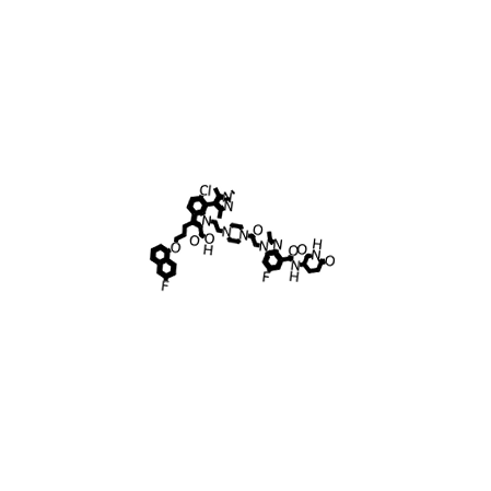 Cc1nn(C)c(C)c1-c1c(Cl)ccc2c(CCCOc3cccc4cc(F)ccc34)c(C(=O)O)n(CCN3CCN(C(=O)Cn4c(C)nc5c(C(=O)NC6CCC(=O)NC6=O)cc(F)cc54)CC3)c12